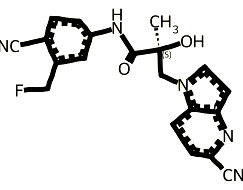 C[C@](O)(Cn1ccc2nc(C#N)ccc21)C(=O)Nc1ccc(C#N)c(CF)c1